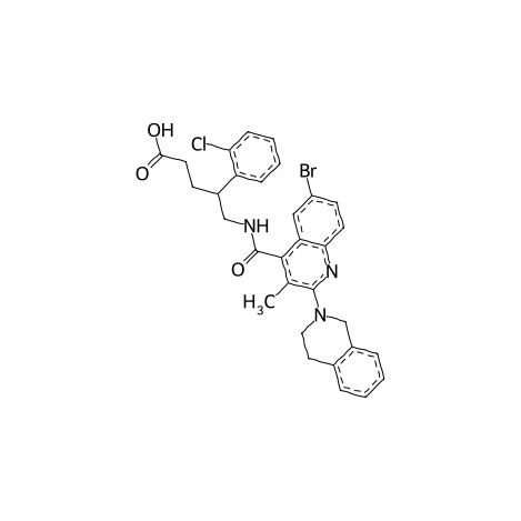 Cc1c(N2CCc3ccccc3C2)nc2ccc(Br)cc2c1C(=O)NCC(CCC(=O)O)c1ccccc1Cl